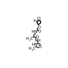 C=C(CCNC(=O)COc1ccc(Cl)c(F)c1)C(=O)NCC1NC(C)COS1